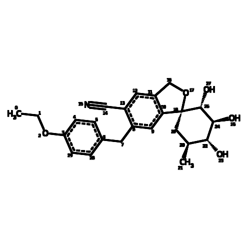 CCOc1ccc(Cc2cc3c(cc2C#N)CO[C@]32C[C@H](C)[C@@H](O)[C@H](O)[C@H]2O)cc1